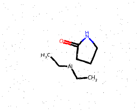 C[CH2][Al][CH2]C.O=C1CCCN1